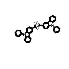 C1=CCCC(n2c3ccccc3c3cc(-c4nnc(-c5ccc6c(c5)c5ccccc5n6-c5ccccc5)o4)ccc32)=C1